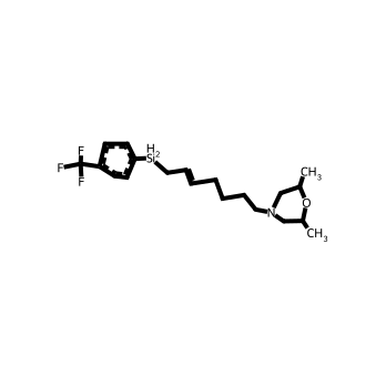 CC1CN(CCCCC=CC[SiH2]c2ccc(C(F)(F)F)cc2)CC(C)O1